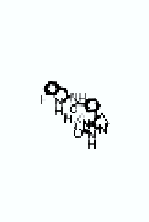 Cn1c(=O)[nH]c2ncnc(-c3cccc(C(=O)NC(CN)Cc4cccc(F)c4)c3)c21